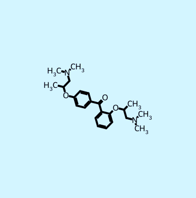 CC(CN(C)C)Oc1ccc(C(=O)c2ccccc2OC(C)CN(C)C)cc1